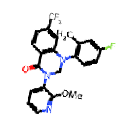 COc1ncccc1N1CN(c2ccc(F)cc2C)c2cc(C(F)(F)F)ccc2C1=O